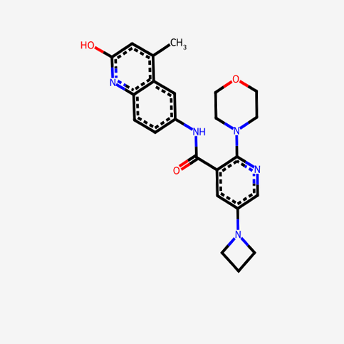 Cc1cc(O)nc2ccc(NC(=O)c3cc(N4CCC4)cnc3N3CCOCC3)cc12